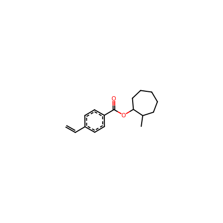 C=Cc1ccc(C(=O)OC2CCCCCC2C)cc1